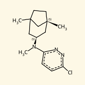 CN(c1ccc(Cl)nn1)[C@H]1CC2(C)CC[C@](C)(C1)C2